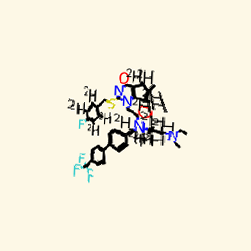 [2H]c1c([2H])c(CSc2nc(=O)c3c(n2CC(=O)N(C([2H])([2H])c2ccc(-c4ccc(C(F)(F)F)cc4)cc2)C([2H])([2H])C([2H])([2H])N(CC)CC)C([2H])([2H])C([2H])(C)C3([2H])[2H])c([2H])c([2H])c1F